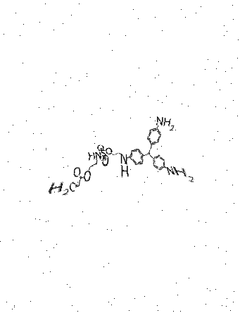 C=CC(=O)OCCNS(=O)(=O)OCCNc1ccc(C(c2ccc(N)cc2)c2ccc(N)cc2)cc1